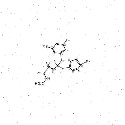 C[C@@H](NC(=O)O)C(=O)NC(C)(Cc1ccc(F)cc1)Cc1cc(F)cc(F)c1